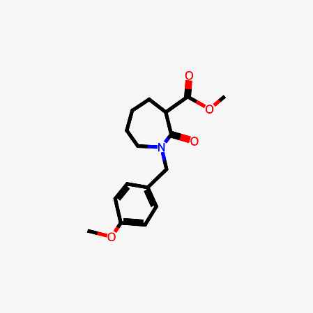 COC(=O)C1CCCCN(Cc2ccc(OC)cc2)C1=O